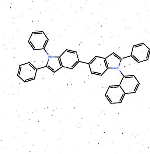 c1ccc(-c2cc3cc(-c4ccc5c(c4)cc(-c4ccccc4)n5-c4cccc5ccccc45)ccc3n2-c2ccccc2)cc1